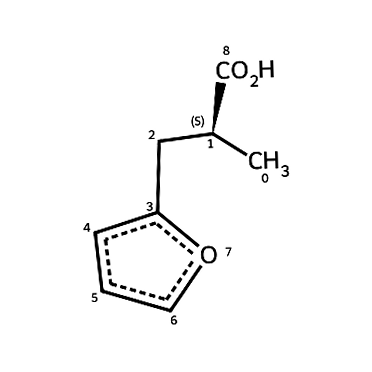 C[C@@H](Cc1ccco1)C(=O)O